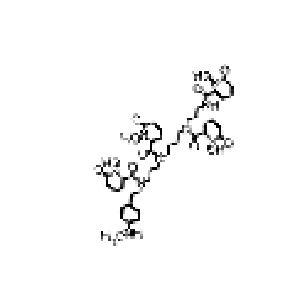 CNc1ccc(CCN(CCCN(CCCCN(CCCNC(=O)c2cccc(=O)n2O)C(=O)c2cccc(=O)n2O)C(=O)c2cccc(=O)n2O)C(=O)c2cccc(=O)n2O)cc1